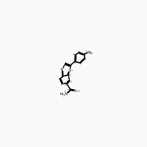 CC(C)(C)c1ccc(-c2cnc3ccc(C(N)=O)cc3n2)cc1